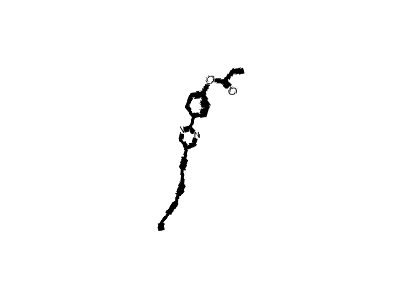 C#CC#CC#CC#Cc1cnc(-c2ccc(OC(=O)C=C)cc2)nc1